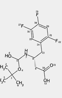 CC(C)(C)OC(O)N[C@@H](CC(=O)O)Cc1cc(F)c(F)cc1F